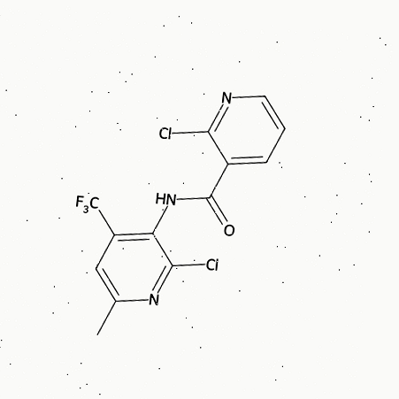 Cc1cc(C(F)(F)F)c(NC(=O)c2cccnc2Cl)c(Cl)n1